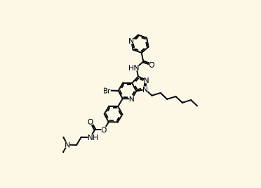 CCCCCCCn1nc(NC(=O)c2cccnc2)c2cc(Br)c(-c3ccc(OC(=O)NCCN(C)C)cc3)nc21